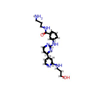 NCCCNC(=O)c1cccc(Nc2nccc(-c3ccnc(NCCCO)c3)n2)c1